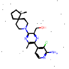 Cc1nc(N2CCC3(CCC[C@H]3C)CC2)c(CO)nc1-c1ccnc(N)c1Cl